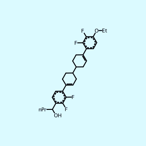 CCCC(O)c1ccc(C2=CCC(C3CC=C(c4ccc(OCC)c(F)c4F)CC3)CC2)c(F)c1F